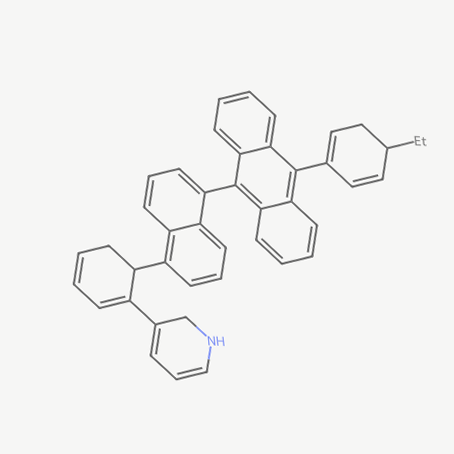 CCC1C=CC(c2c3ccccc3c(-c3cccc4c(C5CC=CC=C5C5=CC=CNC5)cccc34)c3ccccc23)=CC1